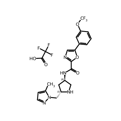 Cc1ccnn1C[C@@H]1C[C@@H](NC(=O)c2ncc(-c3cccc(OC(F)(F)F)c3)o2)CN1.O=C(O)C(F)(F)F